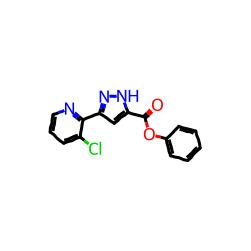 O=C(Oc1ccccc1)c1cc(-c2ncccc2Cl)n[nH]1